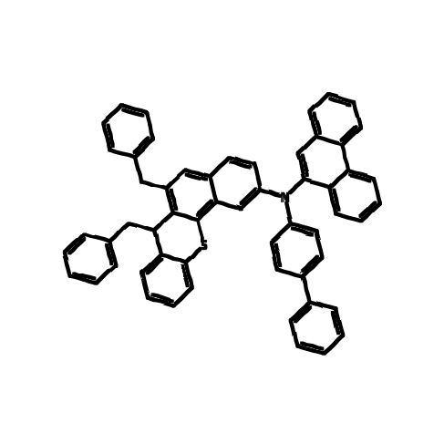 c1ccc(Cc2cc3ccc(N(c4ccc(-c5ccccc5)cc4)c4cc5ccccc5c5ccccc45)cc3c3c2C(Cc2ccccc2)c2ccccc2S3)cc1